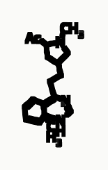 CC(=O)C1CC(CCC2=C3C=CC=CC3(C)NC=N2)CN1C